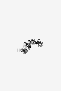 Cc1ccccc1CNc1ccc2oc3c(=O)[nH]c(CN4CC[C@H](O)C4)nc3c2c1